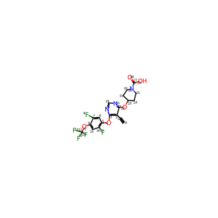 C#Cc1c(Oc2cc(F)c(OC(F)(F)F)cc2F)ncnc1OC1CCN(C(=O)O)CC1